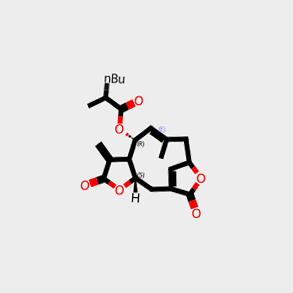 C=C1C(=O)O[C@H]2CC3=CC(C/C(C)=C/[C@@H](OC(=O)C(C)CCCC)C12)OC3=O